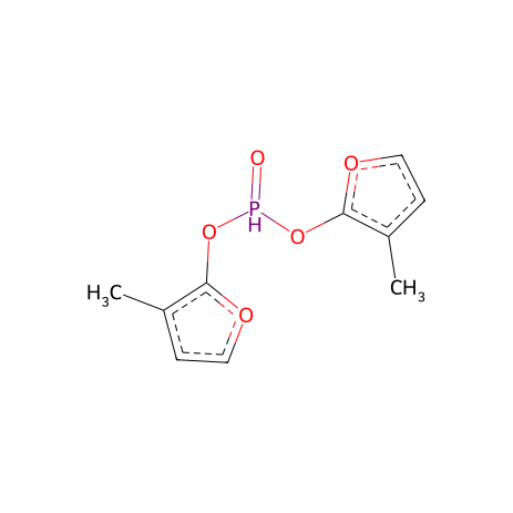 Cc1ccoc1O[PH](=O)Oc1occc1C